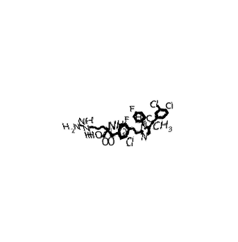 CC(C)(c1ccc(Cl)c(Cl)c1)c1cnc(CCc2c(F)cc(C(=O)[C@](N)(CCCNC(=N)N)C(=O)O)cc2Cl)n1-c1ccc(F)cc1